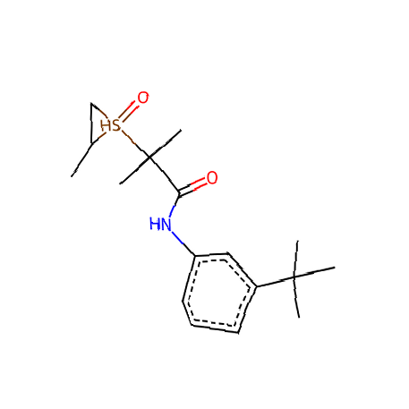 CC1C[SH]1(=O)C(C)(C)C(=O)Nc1cccc(C(C)(C)C)c1